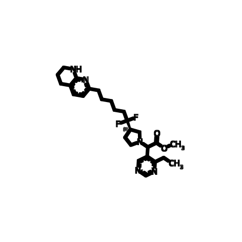 CCc1ncncc1C(C(=O)OC)N1CC[C@@H](C(F)(F)CCCCCc2ccc3c(n2)NCCC3)C1